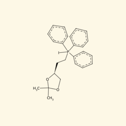 CC1(C)OC[C@H](CCP(I)(c2ccccc2)(c2ccccc2)c2ccccc2)O1